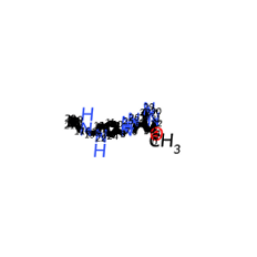 COc1cc(-c2cn(Cc3ccc4cc(CNCC5CCC5)[nH]c4c3)nn2)c2cncn2c1